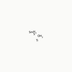 O.S.[Sm].[Ti]